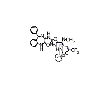 C=N/C(=C(\C=C(/C)C(F)(F)F)NC[C@@H]1CCCO1)c1nnc(N[C@H]2N=C(c3ccccc3)c3ccccc3NC2=O)o1